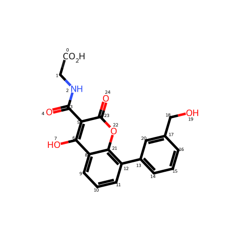 O=C(O)CNC(=O)c1c(O)c2cccc(-c3cccc(CO)c3)c2oc1=O